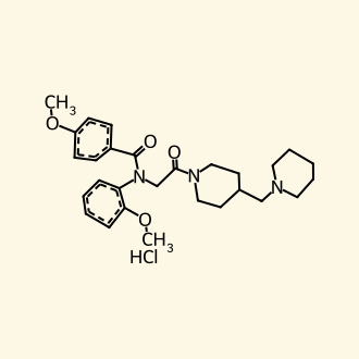 COc1ccc(C(=O)N(CC(=O)N2CCC(CN3CCCCC3)CC2)c2ccccc2OC)cc1.Cl